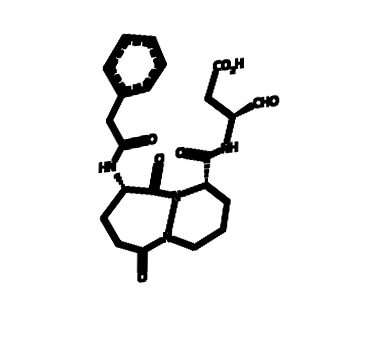 O=C[C@H](CC(=O)O)NC(=O)[C@@H]1CCCN2C(=O)CC[C@H](NC(=O)Cc3ccccc3)C(=O)N12